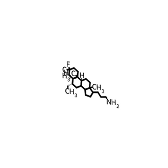 CC[C@H]1CC2C3CCC(CCCN)C3(C)CC[C@@H]2C2(C)CCC(C)(F)CC12